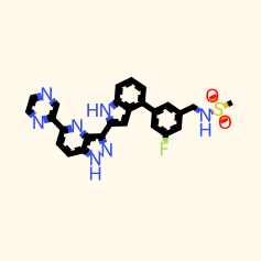 CS(=O)(=O)NCc1cc(F)cc(-c2cccc3[nH]c(-c4n[nH]c5ccc(-c6cnccn6)nc45)cc23)c1